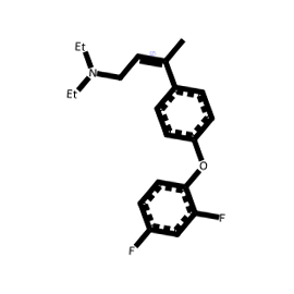 CCN(CC)C/C=C(/C)c1ccc(Oc2ccc(F)cc2F)cc1